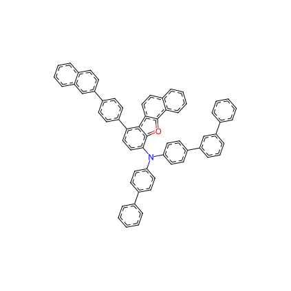 c1ccc(-c2ccc(N(c3ccc(-c4cccc(-c5ccccc5)c4)cc3)c3ccc(-c4ccc(-c5ccc6ccccc6c5)cc4)c4c3oc3c5ccccc5ccc34)cc2)cc1